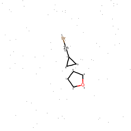 C1CCOC1.[Br][Zn][CH]1CC1